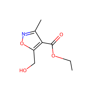 CCOC(=O)c1c(C)noc1CO